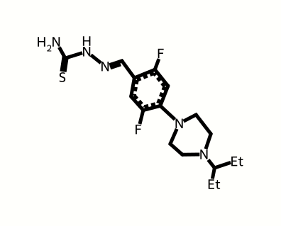 CCC(CC)N1CCN(c2cc(F)c(/C=N/NC(N)=S)cc2F)CC1